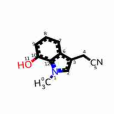 Cn1cc(CC#N)c2cccc(O)c21